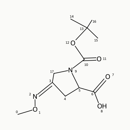 CO/N=C1\CC(C(=O)O)N(C(=O)OC(C)(C)C)C1